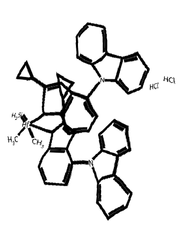 Cl.Cl.[CH3][Hf]([CH3])(=[SiH2])([CH]1C(C2CC2)=Cc2c1cccc2-n1c2ccccc2c2ccccc21)[CH]1C(C2CC2)=Cc2c1cccc2-n1c2ccccc2c2ccccc21